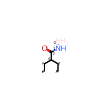 BNC(=O)C(CC)CC